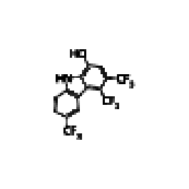 Oc1cc(C(F)(F)F)c(C(F)(F)F)c2c1[nH]c1ccc(C(F)(F)F)cc12